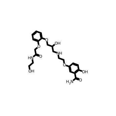 NC(=O)c1cc(OCCNCC(O)COc2ccccc2OCC(=O)NCCO)ccc1O